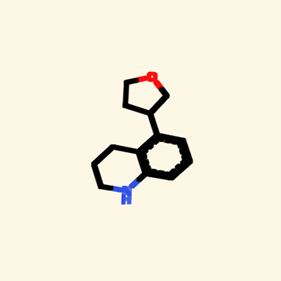 c1cc2c(c(C3CCOC3)c1)CCCN2